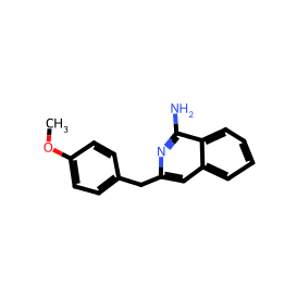 COc1ccc(Cc2cc3ccccc3c(N)n2)cc1